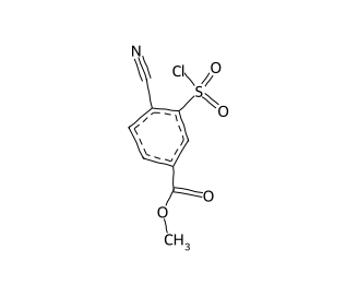 COC(=O)c1ccc(C#N)c(S(=O)(=O)Cl)c1